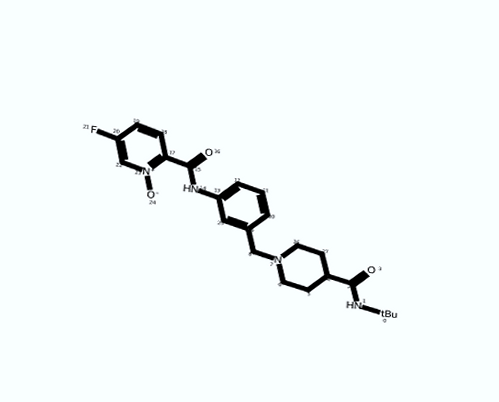 CC(C)(C)NC(=O)C1CCN(Cc2cccc(NC(=O)c3ccc(F)c[n+]3[O-])c2)CC1